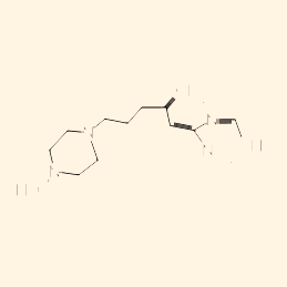 C=C(/C=C(N)\N=C/C)CCCN1CCN(C)CC1